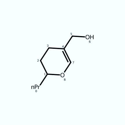 CCCC1CCC(CO)=CO1